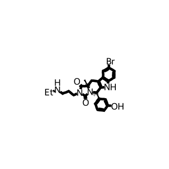 CCNCCCN1C(=O)N2[C@H](c3cccc(O)c3)c3[nH]c4ccc(Br)cc4c3C[C@@]2(C)C1=O